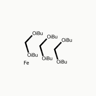 CC(C)COCOCC(C)C.CC(C)COCOCC(C)C.CC(C)COCOCC(C)C.[Fe]